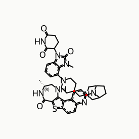 C[C@@H]1CNc2c(sc3ccc4nc(N5C6CCC5CN(CC5CCN(c7cccc8c7n(C)c(=O)n8C7CCC(=O)NC7=O)CC5)C6)ccc4c23)C(=O)N1